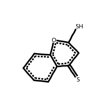 S=c1cc(S)oc2ccccc12